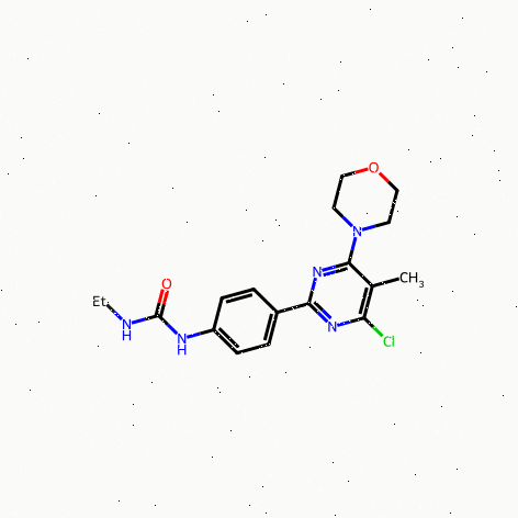 CCNC(=O)Nc1ccc(-c2nc(Cl)c(C)c(N3CCOCC3)n2)cc1